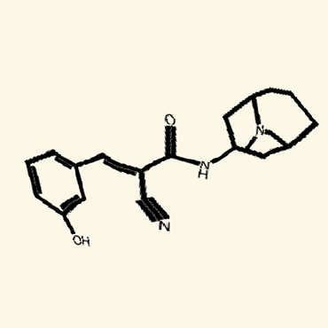 CN1C2CCC1CC(NC(=O)C(C#N)=Cc1cccc(O)c1)C2